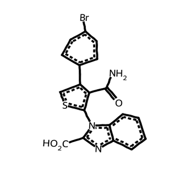 NC(=O)c1c(-c2ccc(Br)cc2)csc1-n1c(C(=O)O)nc2ccccc21